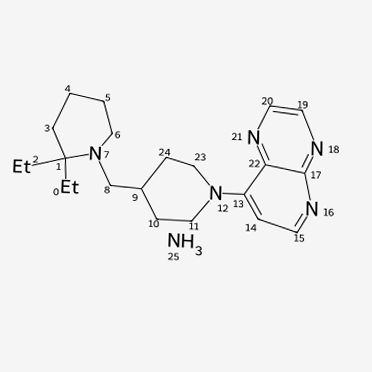 CCC1(CC)CCCCN1CC1CCN(c2ccnc3nccnc23)CC1.N